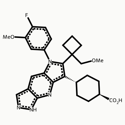 COCC1(c2c([C@H]3CC[C@H](C(=O)O)CC3)c3nc4[nH]ncc4cc3n2-c2ccc(F)c(OC)c2)CCC1